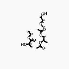 CC(=O)OCC(C)OC(C)=O.CCOC(=O)C(C)O.COCCO